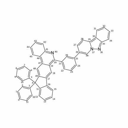 c1ccc(C2(c3ccccc3)c3ccccc3-c3cc4c(-c5cccc(-c6ccc7c8ccccc8nn7c6)c5)nc5ccccc5c4cc32)cc1